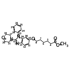 COC(=O)CCCCCOc1ccc2nc(N3CCOCC3)n(-c3ccccc3)c2c1